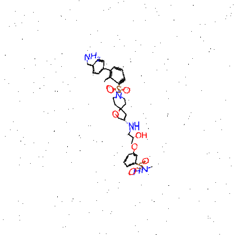 CNS(=O)(=O)c1cccc(OC[C@@H](O)CN[C@@H]2COC3(CCN(S(=O)(=O)c4cccc(-c5ccc(CN)cc5)c4C)CC3)C2)c1